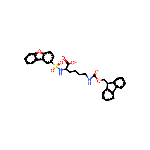 O=C(NCCCCC(NS(=O)(=O)c1ccc2oc3ccccc3c2c1)C(=O)O)OCC1c2ccccc2-c2ccccc21